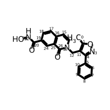 Cc1onc(-c2ccccc2)c1Cn1ccc2ccc(C(=O)NO)cc2c1=O